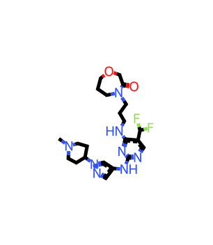 CN1CCC(n2cc(Nc3ncc(C(F)F)c(NCCCN4CCCOCC4=O)n3)cn2)CC1